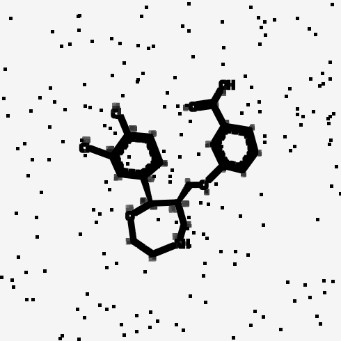 O=C(O)c1cccc(OC[C@H]2CNCCO[C@H]2c2ccc(Cl)c(Cl)c2)c1